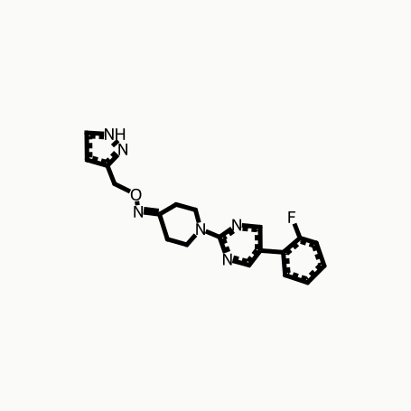 Fc1ccccc1-c1cnc(N2CCC(=NOCc3cc[nH]n3)CC2)nc1